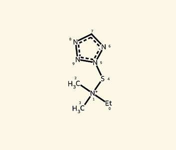 CC[N+](C)(C)Sn1ncnn1